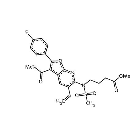 C=Cc1cc2c(C(=O)NC)c(-c3ccc(F)cc3)oc2nc1N(CCCC(=O)OC)S(C)(=O)=O